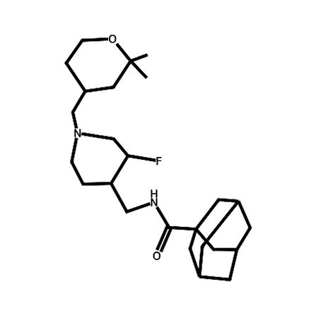 CC1(C)CC(CN2CCC(CNC(=O)C34CC5CC(CC(C5)C3)C4)C(F)C2)CCO1